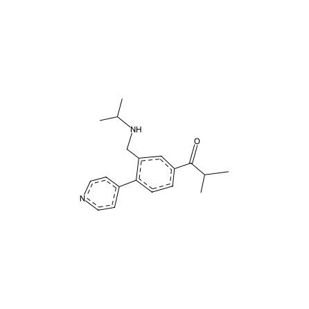 CC(C)NCc1cc(C(=O)C(C)C)ccc1-c1ccncc1